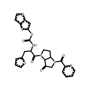 O=C(NC(Cc1cccs1)C(=O)N1CCC2C1C(=O)CN2C(=O)c1ccccn1)Oc1cc2sccc2s1